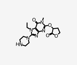 CCn1c(N2CCNCC2)nc2nc(OC3CCOC3=O)n(C)c(=O)c21